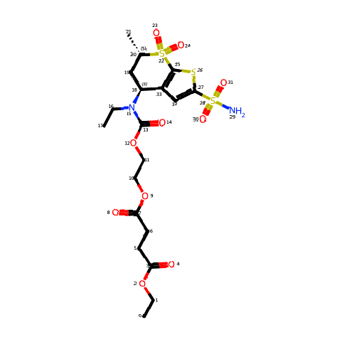 CCOC(=O)CCC(=O)OCCOC(=O)N(CC)[C@H]1C[C@H](C)S(=O)(=O)c2sc(S(N)(=O)=O)cc21